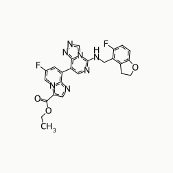 CCOC(=O)c1cnc2c(-c3cnc(NCc4c(F)ccc5c4CCO5)n4cnnc34)cc(F)cn12